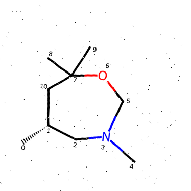 C[C@H]1CN(C)COC(C)(C)C1